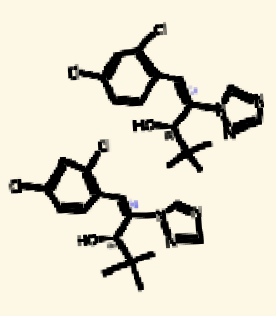 CC(C)(C)[C@@H](O)/C(=C\c1ccc(Cl)cc1Cl)n1cncn1.CC(C)(C)[C@@H](O)/C(=C\c1ccc(Cl)cc1Cl)n1cncn1